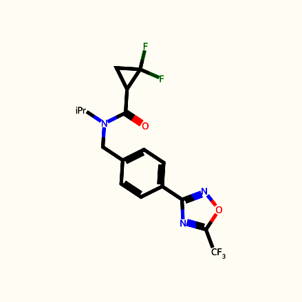 CC(C)N(Cc1ccc(-c2noc(C(F)(F)F)n2)cc1)C(=O)C1CC1(F)F